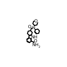 NC(=O)c1cccc2c3c([nH]c12)CC(C(=O)N(C1C=CCCC1)C1CCOCC1)CC3